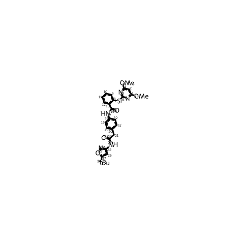 COc1cc(OC)nc(Sc2ccccc2C(=O)Nc2ccc(CC(=O)Nc3cc(C(C)(C)C)on3)cc2)n1